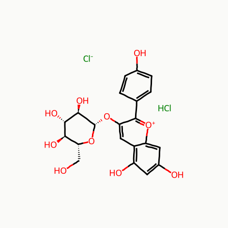 Cl.OC[C@H]1O[C@@H](Oc2cc3c(O)cc(O)cc3[o+]c2-c2ccc(O)cc2)[C@H](O)[C@@H](O)[C@@H]1O.[Cl-]